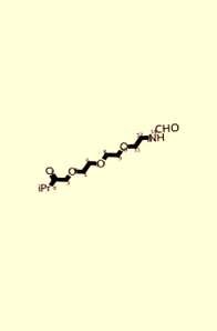 CC(C)C(=O)COCCOCCOCCNC=O